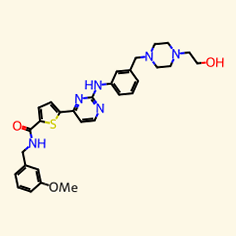 COc1cccc(CNC(=O)c2ccc(-c3ccnc(Nc4cccc(CN5CCN(CCO)CC5)c4)n3)s2)c1